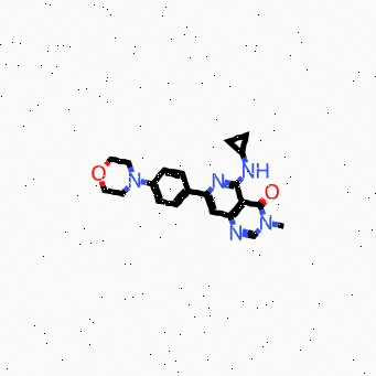 Cn1cnc2cc(-c3ccc(N4CCOCC4)cc3)nc(NC3CC3)c2c1=O